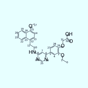 CCOc1cc(-c2cc(NCCc3ccc(OC)c4ccccc34)ncn2)ccc1OCC(=O)O